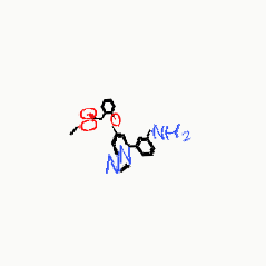 CCOC(=O)Cc1ccccc1OCc1cc(-c2cccc(CN)c2)n2ccnc2c1